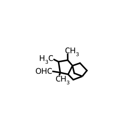 CC1C(C)C23CCC(CC2C1(C)C=O)C3